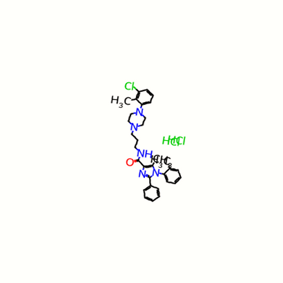 Cc1ccccc1-n1c(-c2ccccc2)nc(C(=O)NCCCN2CCN(c3cccc(Cl)c3C)CC2)c1C.Cl.Cl